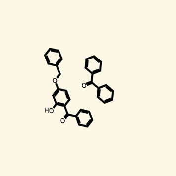 O=C(c1ccccc1)c1ccc(OCc2ccccc2)cc1O.O=C(c1ccccc1)c1ccccc1